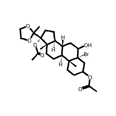 CC(=O)OC1CC[C@]2(C)[C@H]3CC[C@@]4(C)[C@@H](CC[C@]4(OC(C)=O)C4(C)OCCO4)[C@@H]3CC(O)[C@@]2(Br)C1